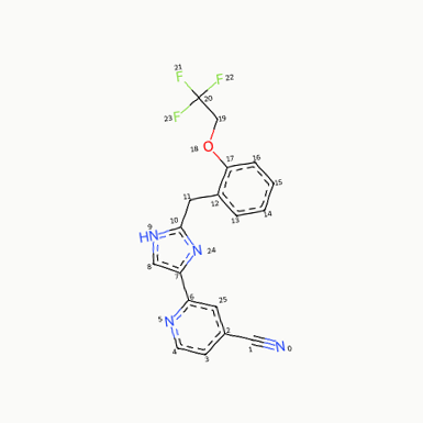 N#Cc1ccnc(-c2c[nH]c(Cc3ccccc3OCC(F)(F)F)n2)c1